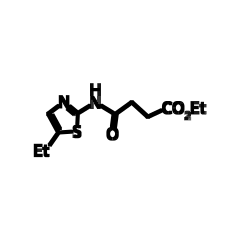 CCOC(=O)CCC(=O)Nc1ncc(CC)s1